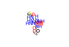 CC1(C)CCOc2c(C(=O)NC3CN4C(=N)NC(CNC(=O)c5cccs5)C5NC(=N)NC54C3(O)O)cccc21